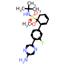 COC1(S(=O)(=O)NC(C)(C)C)CC=CC=C1c1ccc(-c2cnc(N)cn2)c(F)c1